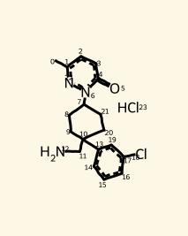 Cc1ccc(=O)n(C2CCC(CN)(c3cccc(Cl)c3)CC2)n1.Cl